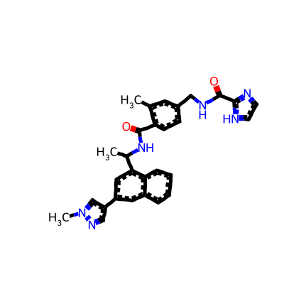 Cc1cc(CNC(=O)c2ncc[nH]2)ccc1C(=O)NC(C)c1cc(-c2cnn(C)c2)cc2ccccc12